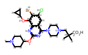 CN1CCC(Oc2nc(N3CCN(CC(C)(C)C(=O)O)CC3)c3cc(Cl)c(Br)c(OC4CC4)c3n2)CC1